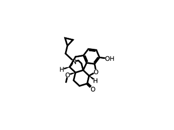 CO[C@]12CCC(=O)[C@H]3Oc4c(O)ccc5c4C31CCN(CC1CC1)[C@H]2C5